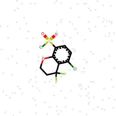 O=S(=O)(Cl)c1ccc(Cl)c2c1OCCC2(F)F